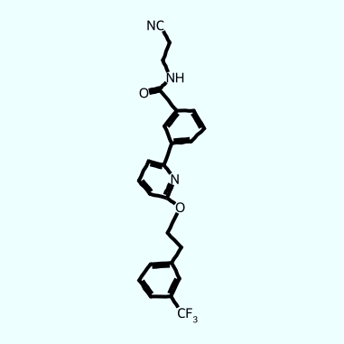 N#CCCNC(=O)c1cccc(-c2cccc(OCCc3cccc(C(F)(F)F)c3)n2)c1